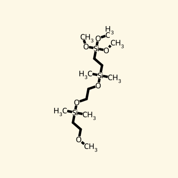 COCC[Si](C)(C)OCCO[Si](C)(C)CC[Si](OC)(OC)OC